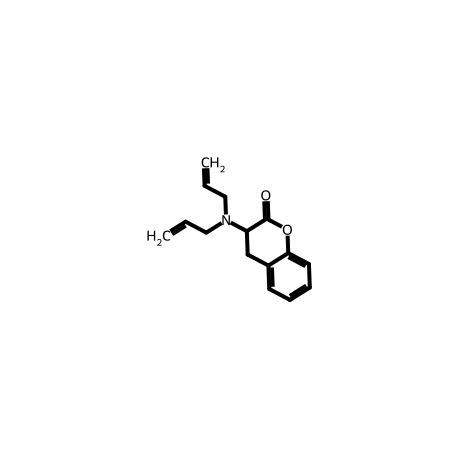 C=CCN(CC=C)C1Cc2ccccc2OC1=O